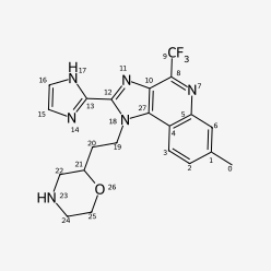 Cc1ccc2c(c1)nc(C(F)(F)F)c1nc(-c3ncc[nH]3)n(CCC3CNCCO3)c12